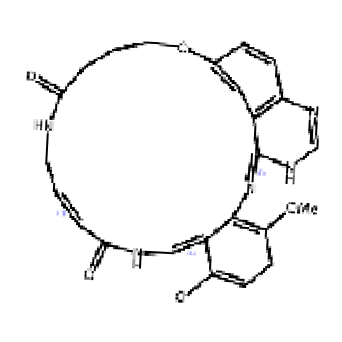 COC1=C2/N=C3/NC=Nc4ccc(cc43)OCCCC(=O)NC/C=C\C(=O)N/C=C\2C(Cl)=CC1